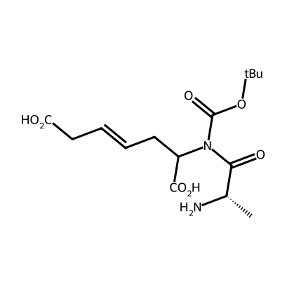 C[C@H](N)C(=O)N(C(=O)OC(C)(C)C)C(CC=CCC(=O)O)C(=O)O